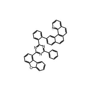 c1ccc(-c2nc(-c3ccccc3-c3ccc4ccc5ccc6cccnc6c5c4c3)nc(-c3cccc4oc5ccccc5c34)n2)cc1